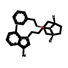 CC(=O)c1cn(CCCN2[C@@H]3CC[C@H]2C[C@@H](CCc2ccccc2)C3)c2c(C)cccc12